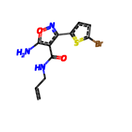 C=CCNC(=O)c1c(-c2ccc(Br)s2)noc1N